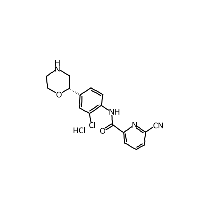 Cl.N#Cc1cccc(C(=O)Nc2ccc([C@H]3CNCCO3)cc2Cl)n1